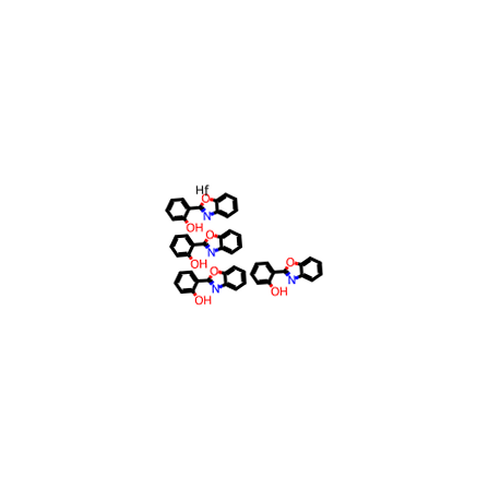 Oc1ccccc1-c1nc2ccccc2o1.Oc1ccccc1-c1nc2ccccc2o1.Oc1ccccc1-c1nc2ccccc2o1.Oc1ccccc1-c1nc2ccccc2o1.[Hf]